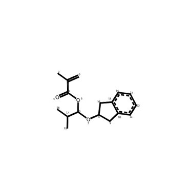 C=C(C)C(=O)OC(OC1Cc2ccccc2C1)C(C)C